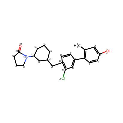 Cc1cc(O)ccc1-c1ccc(CC2CCCC(N3CCCC3=O)C2)c(Cl)c1